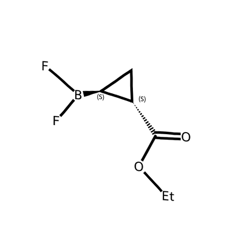 CCOC(=O)[C@H]1C[C@@H]1B(F)F